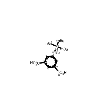 CCCC[PH](CCCC)(CCCC)CCCC.O=C(O)c1cccc(S(=O)(=O)O)c1